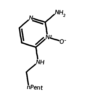 CCCCCCNc1ccnc(N)[n+]1[O-]